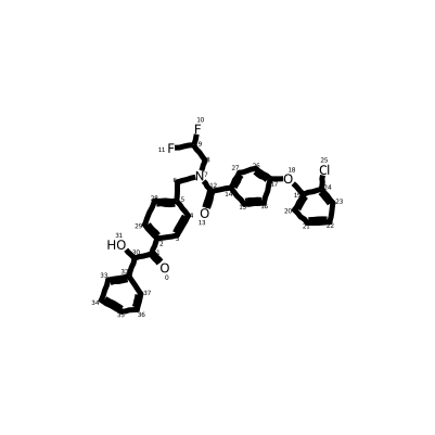 O=C(c1ccc(CN(CC(F)F)C(=O)c2ccc(Oc3ccccc3Cl)cc2)cc1)C(O)c1ccccc1